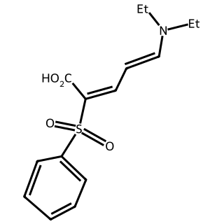 CCN(C=CC=C(C(=O)O)S(=O)(=O)c1ccccc1)CC